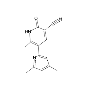 Cc1cc(C)nc(-c2cc(C#N)c(=O)[nH]c2C)c1